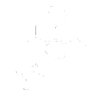 COc1ccc(/C=C(\C)C(N)=O)c(N(C)C)c1N1CCCC1